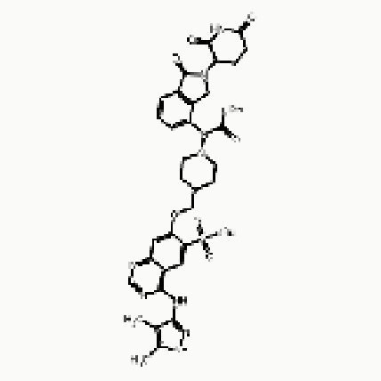 CCCCCCCCCCC(=O)N(c1cccc2c1CN(C1CCC(=O)NC1=O)C2=O)N1CCC(COc2cc3ncnc(Nc4n[nH]c(C)c4C)c3cc2S(=O)(=O)C(C)(C)C)CC1